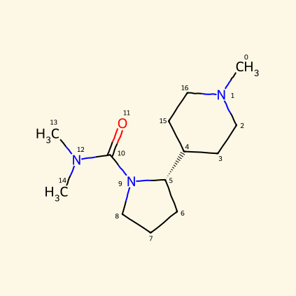 CN1CCC([C@@H]2CCCN2C(=O)N(C)C)CC1